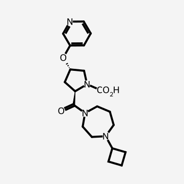 O=C([C@H]1C[C@H](Oc2cccnc2)CN1C(=O)O)N1CCCN(C2CCC2)CC1